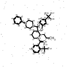 CCC[C@H]1N(C(=O)c2cnccc2C(F)(F)F)CCC[C@@]1(Oc1csc(C(F)(F)F)c1)C(=O)N1CCN(c2ccccc2)CC1